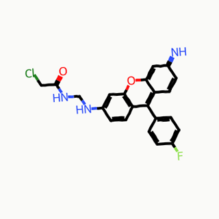 N=c1ccc2c(-c3ccc(F)cc3)c3ccc(NCNC(=O)CCl)cc3oc-2c1